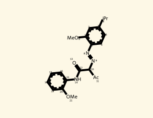 COc1cc(C(C)C)ccc1N=NC(C(C)=O)C(=O)Nc1ccccc1OC